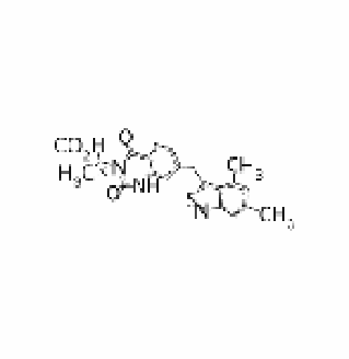 Cc1cc(C)c2c(Cc3ccc4c(=O)n([C@@H](C)C(=O)O)c(=O)[nH]c4c3)snc2c1